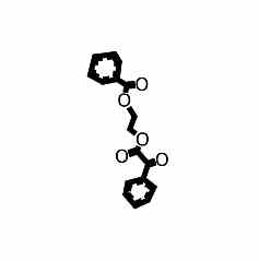 O=C(OCCOC(=O)c1ccccc1)C(=O)c1ccccc1